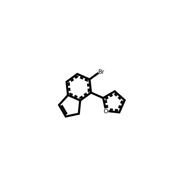 Brc1ccc2c(c1-c1ccco1)CC=C2